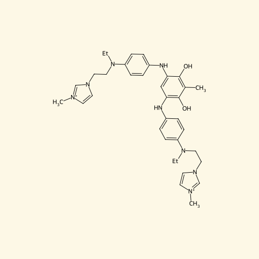 CCN(CCn1cc[n+](C)c1)c1ccc(Nc2cc(Nc3ccc(N(CC)CCn4cc[n+](C)c4)cc3)c(O)c(C)c2O)cc1